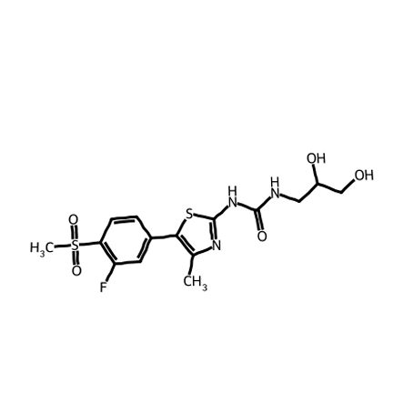 Cc1nc(NC(=O)NCC(O)CO)sc1-c1ccc(S(C)(=O)=O)c(F)c1